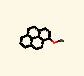 CC(C)(C)Oc1ccc2ccc3cccc4ccc1c2c34